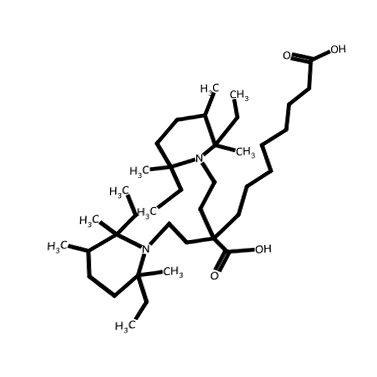 CCC1(C)CCC(C)C(C)(CC)N1CCC(CCCCCCCC(=O)O)(CCN1C(C)(CC)CCC(C)C1(C)CC)C(=O)O